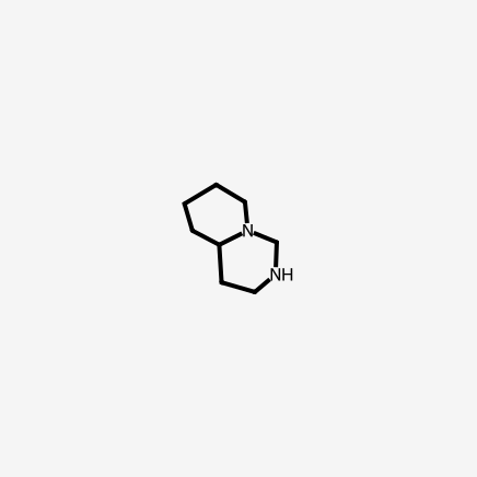 C1CCN2CNCCC2C1